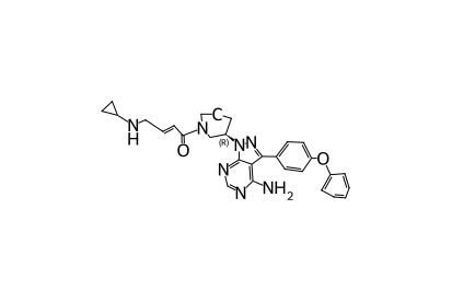 Nc1ncnc2c1c(-c1ccc(Oc3ccccc3)cc1)nn2[C@@H]1CCCN(C(=O)C=CCNC2CC2)C1